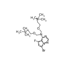 C[Si](C)(C)CCOCN(COCC[Si](C)(C)C)c1ncnn2c(Br)cc(F)c12